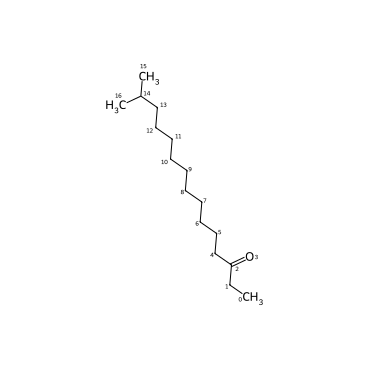 CCC(=O)CCCCCCCCCCC(C)C